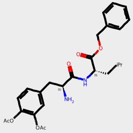 CC(=O)Oc1ccc(C[C@H](N)C(=O)N[C@@H](CC(C)C)C(=O)OCc2ccccc2)cc1OC(C)=O